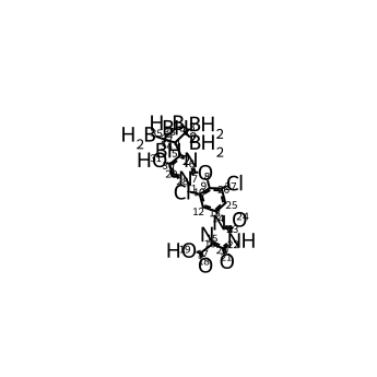 BC(B)(B)C(c1nc(Oc2c(Cl)cc(-n3nc(C(=O)O)c(=O)[nH]c3=O)cc2Cl)ncc1O)C(B)(B)B